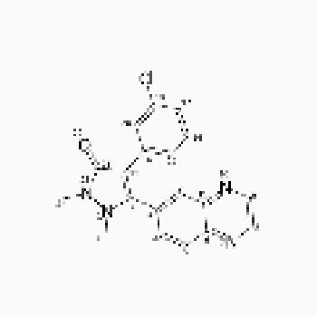 Cn1c(-c2ccc3nccnc3c2)c(-c2cccc(Cl)c2)c(=O)n1C